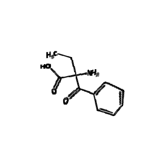 CCC(N)(C(=O)O)C(=O)c1ccccc1